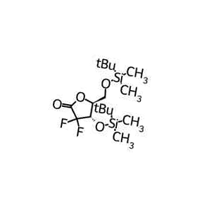 CC(C)(C)[Si](C)(C)OC[C@@H]1OC(=O)C(F)(F)[C@H]1O[Si](C)(C)C(C)(C)C